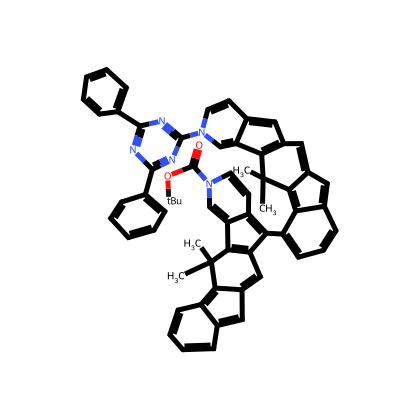 CC(C)(C)OC(=O)n1ccc2c(-c3cccc4c3=C3C(=Cc5cc6ccn(-c7nc(-c8ccccc8)nc(-c8ccccc8)n7)cc-6c5C3(C)C)C=4)c3c(c-2c1)C(C)(C)C1=c2ccccc2=CC1=C3